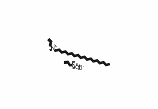 C=CC[N+](C)(C)C.C=CC[N+](C)(C)CCCCCCCCCCCCCCCCCC.[Cl-].[Cl-]